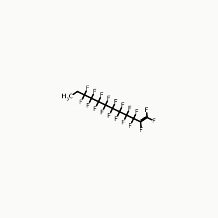 CCC(F)(F)C(F)(F)C(F)(F)C(F)(F)C(F)(F)C(F)(F)C(F)(F)C(F)(F)C(F)=C(F)F